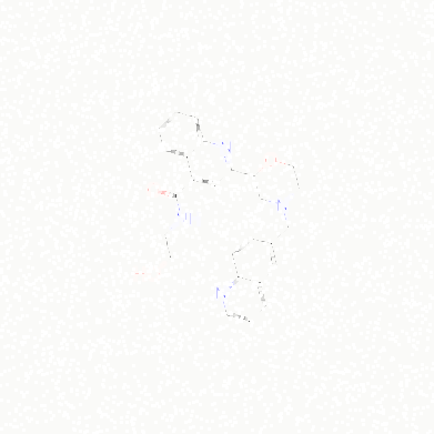 O=C(NCCO)c1cc(C2CN(Cc3ccc4ncccc4c3)CCO2)nc2ccccc12